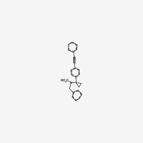 O=C(O)N(Cc1ccccc1)C1(c2ccc(C#Cc3ccccc3)cc2)CC1